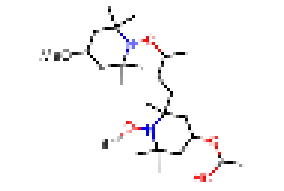 COC1CC(C)(C)N(OC(C)CCC2(C)CC(OC(C)O)CC(C)(C)N2OC(C)C)C(C)(C)C1